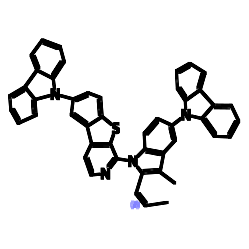 C/C=C\c1c(C)c2cc(-n3c4ccccc4c4ccccc43)ccc2n1-c1nccc2c1sc1ccc(-n3c4ccccc4c4ccccc43)cc12